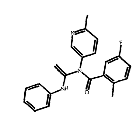 C=C(Nc1ccccc1)N(C(=O)c1cc(F)ccc1C)c1ccc(C)nc1